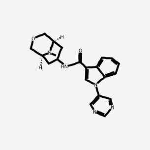 CN1[C@@H]2COC[C@H]1CC(NC(=O)c1cn(-c3cncnc3)c3ccccc13)C2